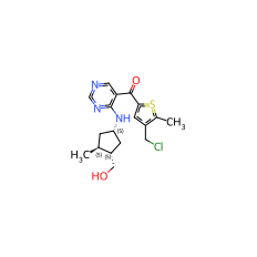 Cc1sc(C(=O)c2cncnc2N[C@@H]2C[C@H](CO)[C@@H](C)C2)cc1CCl